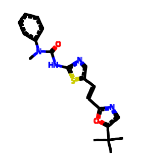 CN(C(=O)Nc1ncc(C=Cc2ncc(C(C)(C)C)o2)s1)c1ccccc1